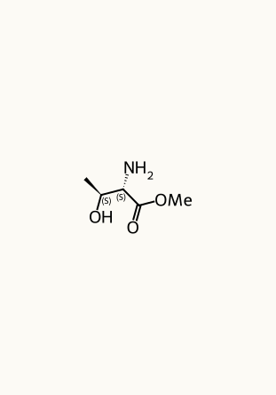 COC(=O)[C@@H](N)[C@H](C)O